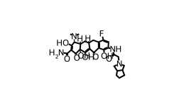 CN(C)[C@@H]1C(O)=C(C(N)=O)C(=O)[C@@]2(O)C(O)=C3C(=O)c4c(O)c(NC(=O)CN5CC6CCCC6C5)cc(F)c4C[C@H]3C[C@@H]12